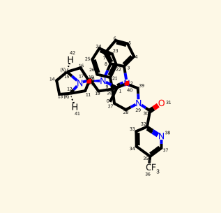 Cc1nc2ccccc2n1[C@H]1C[C@H]2CC[C@@H](C1)N2CCC1(c2ccccc2)CCN(C(=O)c2ccc(C(F)(F)F)cn2)CC1